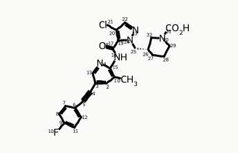 Cc1cc(C#Cc2ccc(F)cc2)cnc1NC(=O)c1c(Cl)cnn1C[C@H]1CCCN(C(=O)O)C1